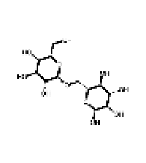 OC[C@H]1O[C@@H](OC[C@H]2O[C@H](O)[C@H](O)[C@@H](O)[C@@H]2O)[C@H](O)[C@@H](O)[C@H]1O